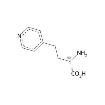 N[C@@H](CCc1ccncc1)C(=O)O